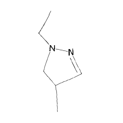 CCN1CC(C)C=N1